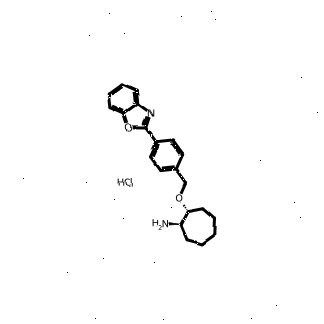 Cl.N[C@@H]1CCCCC[C@H]1OCc1ccc(-c2nc3ccccc3o2)cc1